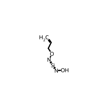 C=CCON=[Si]=NO